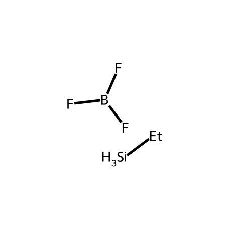 CC[SiH3].FB(F)F